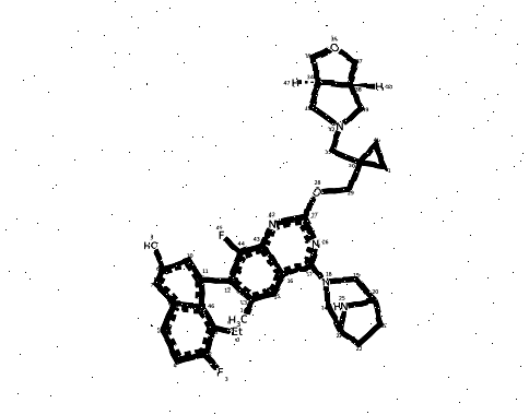 CCc1c(F)ccc2cc(O)cc(-c3c(C)cc4c(N5CC6CCC(C5)N6)nc(OCC5(CN6C[C@H]7COC[C@@H]7C6)CC5)nc4c3F)c12